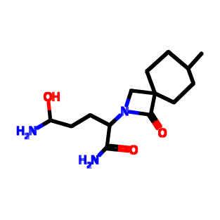 CC1CCC2(CC1)CN(C(CCC(N)O)C(N)=O)C2=O